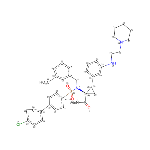 CNC(=O)[C@@]1(N(Cc2cccc(C(=O)O)c2)S(=O)(=O)c2ccc(-c3ccc(Cl)cc3)cc2)C[C@H]1c1cccc(NCCN2CCCCC2)c1